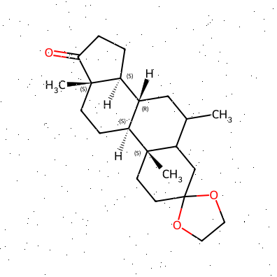 CC1C[C@@H]2[C@H](CC[C@]3(C)C(=O)CC[C@@H]23)[C@@]2(C)CCC3(CC12)OCCO3